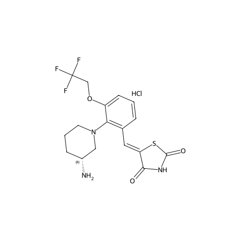 Cl.N[C@@H]1CCCN(c2c(C=C3SC(=O)NC3=O)cccc2OCC(F)(F)F)C1